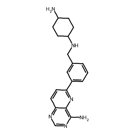 Nc1ncnc2ccc(-c3cccc(CNC4CCC(N)CC4)c3)nc12